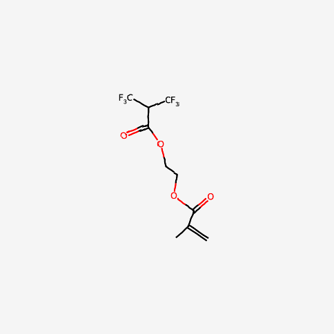 C=C(C)C(=O)OCCOC(=O)C(C(F)(F)F)C(F)(F)F